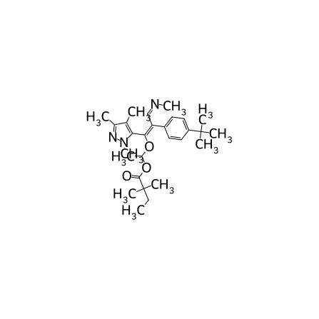 CCC(C)(C)C(=O)OC(C)O/C(=C(/C=N\C)c1ccc(C(C)(C)C)cc1)c1c(C)c(C)nn1C